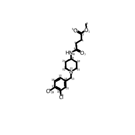 COC(=O)CCC(=O)NC1CCN(Cc2ccc(Cl)c(Cl)c2)CC1